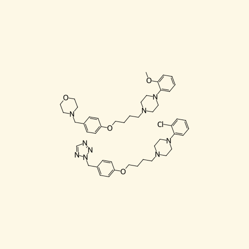 COc1ccccc1N1CCN(CCCCOc2ccc(CN3CCOCC3)cc2)CC1.Clc1ccccc1N1CCN(CCCCOc2ccc(Cn3ncnn3)cc2)CC1